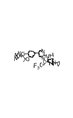 C[C@@H](Cn1cnnn1)Oc1cc(-c2cnc(Nc3cn(C4CCC4)nc3OCC(F)(F)F)nc2)ccc1Cl